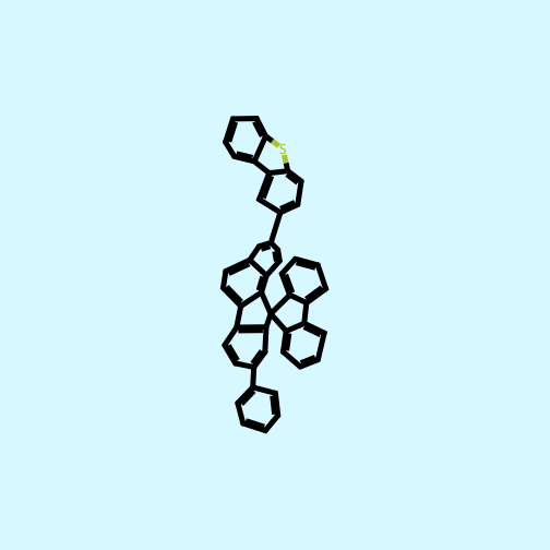 c1ccc(-c2ccc3c(c2)C2(c4ccccc4-c4ccccc42)c2c-3ccc3cc(-c4ccc5sc6ccccc6c5c4)ccc23)cc1